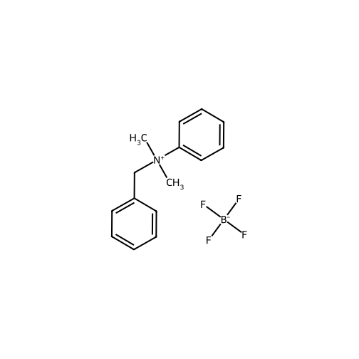 C[N+](C)(Cc1ccccc1)c1ccccc1.F[B-](F)(F)F